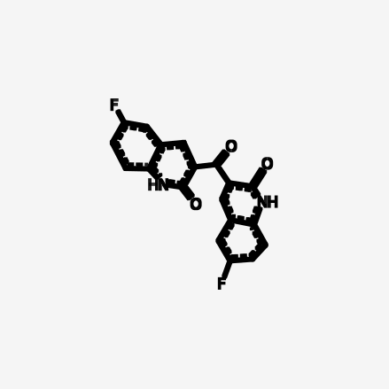 O=C(c1cc2cc(F)ccc2[nH]c1=O)c1cc2cc(F)ccc2[nH]c1=O